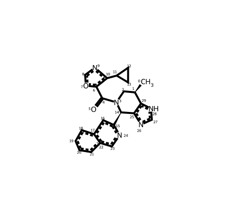 C[C@@H]1CN(C(=O)c2ocnc2C2CC2)[C@H](c2cc3ccccc3cn2)c2nc[nH]c21